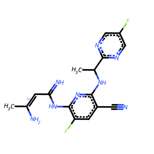 C/C(N)=C/C(=N)Nc1nc(NC(C)c2ncc(F)cn2)c(C#N)cc1F